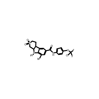 CC(C)N1c2c(Br)cc(C(=O)Nc3ccc(OC(F)(F)Cl)cc3)cc2C2CCS(=O)(=O)CC21